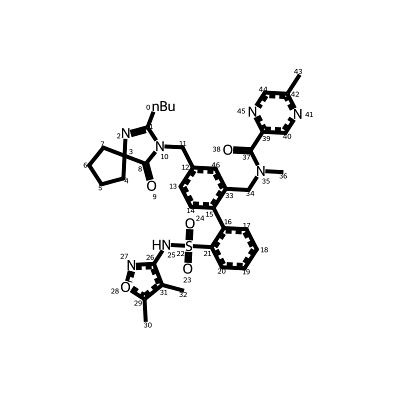 CCCCC1=NC2(CCCC2)C(=O)N1Cc1ccc(-c2ccccc2S(=O)(=O)Nc2noc(C)c2C)c(CN(C)C(=O)c2cnc(C)cn2)c1